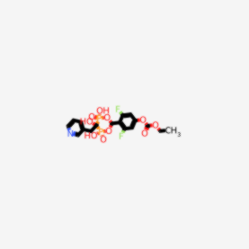 CCOC(=O)Oc1cc(F)c(C2OP(=O)(O)C(O)(Cc3cccnc3)P(=O)(O)O2)c(F)c1